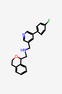 Fc1ccc(-c2cncc(CNCC3OCCc4ccccc43)c2)cc1